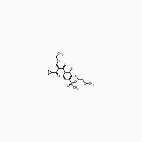 CCO/C=C(\C(=O)c1ccc(S(C)(=O)=O)c(OCCOC)c1Br)C(=O)C1CC1